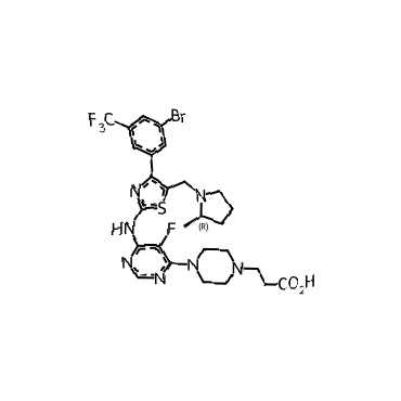 C[C@@H]1CCCN1Cc1sc(Nc2ncnc(N3CCN(CCC(=O)O)CC3)c2F)nc1-c1cc(Br)cc(C(F)(F)F)c1